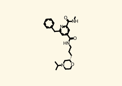 CNC(=O)c1cc(C(=O)NCCC[C@H]2CN(C(C)C)CCO2)cc(Cc2ccccc2)n1